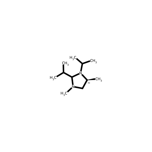 CC(C)C1N(C)C[C@H](C)N1C(C)C